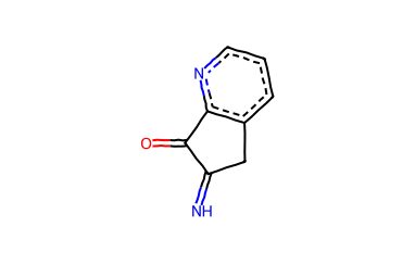 N=C1Cc2cccnc2C1=O